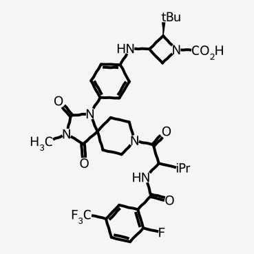 CC(C)C(NC(=O)c1cc(C(F)(F)F)ccc1F)C(=O)N1CCC2(CC1)C(=O)N(C)C(=O)N2c1ccc(NC2CN(C(=O)O)[C@@H]2C(C)(C)C)cc1